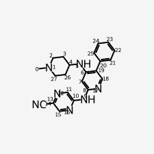 CN1CCC(Nc2cc(Nc3cnc(C#N)cn3)ncc2-c2ccccc2)CC1